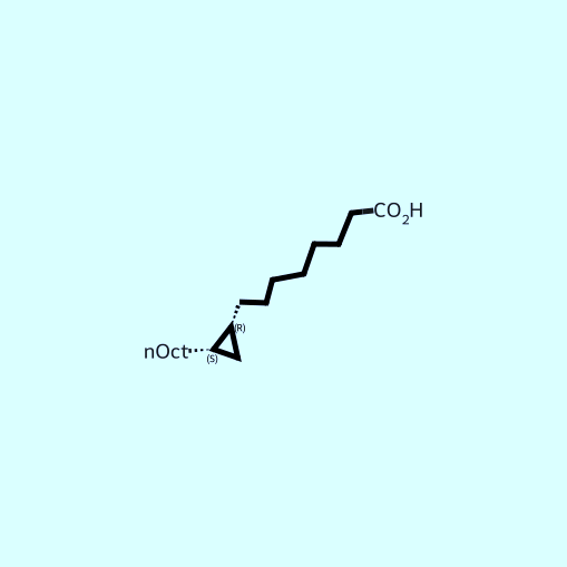 CCCCCCCC[C@H]1C[C@H]1CCCCCCCC(=O)O